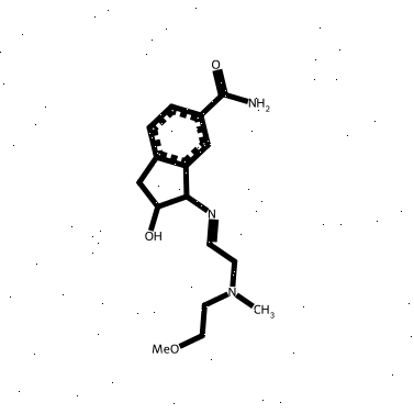 COCCN(C)CC=NC1c2cc(C(N)=O)ccc2CC1O